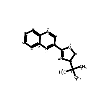 CC(C)(C)C1COC(c2cnc3ccccc3n2)=N1